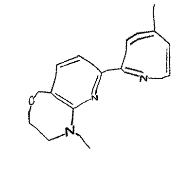 Cc1ccnc(-c2ccc3c(n2)N(C)CCO3)c1